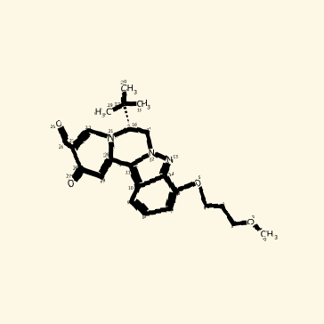 COCCCOc1cccc2c3n(nc12)C[C@@H](C(C)(C)C)n1cc(C=O)c(=O)cc1-3